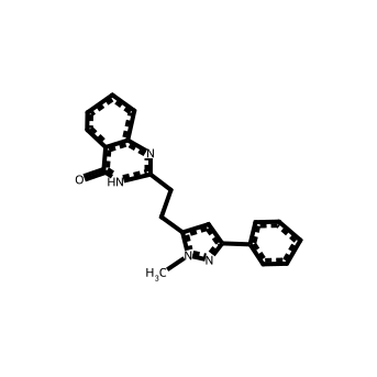 Cn1nc(-c2ccccc2)cc1CCc1nc2ccccc2c(=O)[nH]1